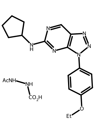 CC(=O)NNC(=O)O.CCOc1ccc(-n2nnc3cnc(NC4CCCC4)nc32)cc1